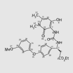 CCOC(=O)C[C@H](NC(=O)Nc1c(O)cc(C)n(C)c1=O)c1ccc(Oc2cccc(OC)c2)cc1